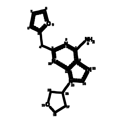 Nc1nc(Cc2ccco2)nc2c1ncn2C1CCOC1